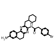 Nc1ccc2c(c1)CCc1nc(NC(=O)Cc3ccc(Br)cc3)c(CC3CCCCC3)nc1-2